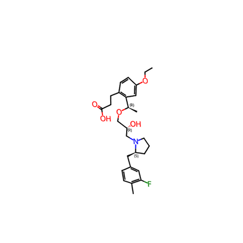 CCOc1ccc(CCC(=O)O)c([C@@H](C)OC[C@H](O)CN2CCC[C@H]2Cc2ccc(C)c(F)c2)c1